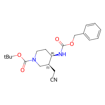 CC(C)(C)OC(=O)N1CC[C@@H](NC(=O)OCc2ccccc2)[C@@H](CC#N)C1